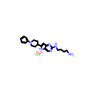 Cl.NCCCCNc1ncc2[nH]c(C3CCN(c4ccccc4)CC3)cc2n1.O